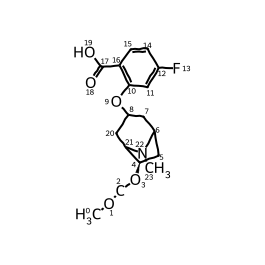 COCO[C@@H]1CC2CC(Oc3cc(F)ccc3C(=O)O)CC1N2C